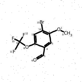 COc1cc(C=O)c(OC(F)(F)F)cc1Br